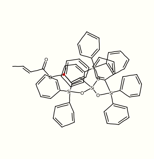 CC=CC(=O)OCCC[Si](O[Si](c1ccccc1)(c1ccccc1)c1ccccc1)(O[Si](c1ccccc1)(c1ccccc1)c1ccccc1)O[Si](c1ccccc1)(c1ccccc1)c1ccccc1